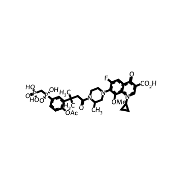 COc1c(N2CCN(C(=O)CC(C)(C)c3cc(P(=O)(O)CP(=O)(O)O)ccc3OC(C)=O)C(C)C2)c(F)cc2c(=O)c(C(=O)O)cn(C3CC3)c12